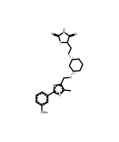 COc1cccc(-c2nc(CO[C@H]3CCC[C@@H](CCC4SC(=O)NC4=O)C3)c(C)o2)c1